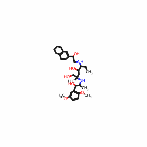 CCC(NCC(O)c1ccc2c(c1)CCCC2)C(O)CC(C)(CO)NC(C)C(O)c1cc(OC)ccc1OC